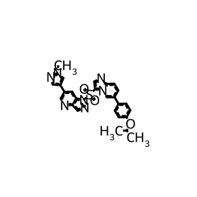 CC(C)Oc1ccc(-c2ccc3ncc(S(=O)(=O)n4ncc5ncc(-c6cnn(C)c6)cc54)n3c2)cc1